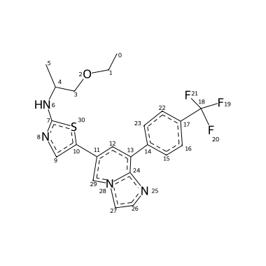 CCOCC(C)Nc1ncc(-c2cc(-c3ccc(C(F)(F)F)cc3)c3nccn3c2)s1